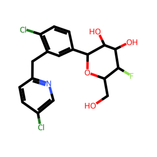 OCC1OC(c2ccc(Cl)c(Cc3ccc(Cl)cn3)c2)C(O)C(O)C1F